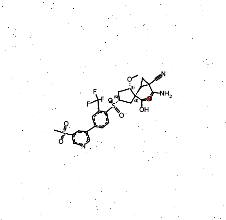 CO[C@H]1C[C@@H](S(=O)(=O)c2ccc(-c3cncc(S(C)(=O)=O)c3)cc2C(F)(F)F)C[C@]1(C(=O)O)C1CC1(C#N)C(N)=O